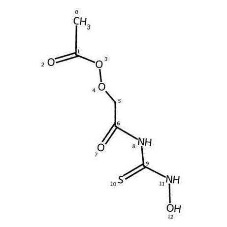 CC(=O)OOCC(=O)NC(=S)NO